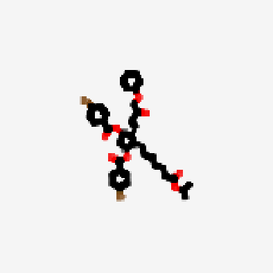 CC(C)OC(=O)CCCC=CC[C@@H]1[C@@H](C=CC(=O)COc2ccccc2)[C@H](OC(=O)c2ccc(Br)cc2)C[C@@H]1OC(=O)c1ccc(Br)cc1